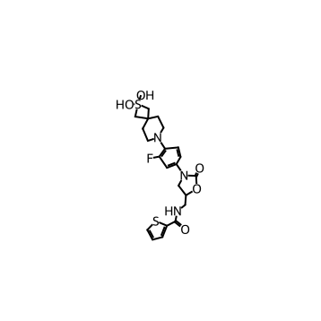 O=C(NCC1CN(c2ccc(N3CCC4(CC3)CS(O)(O)C4)c(F)c2)C(=O)O1)c1cccs1